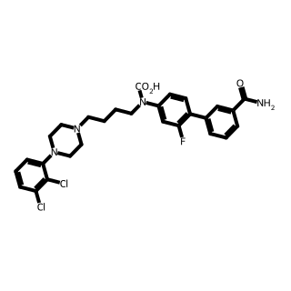 NC(=O)c1cccc(-c2ccc(N(CCCCN3CCN(c4cccc(Cl)c4Cl)CC3)C(=O)O)cc2F)c1